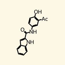 CC(=O)c1cc(NC(=O)c2cc3ccccc3[nH]2)ccc1O